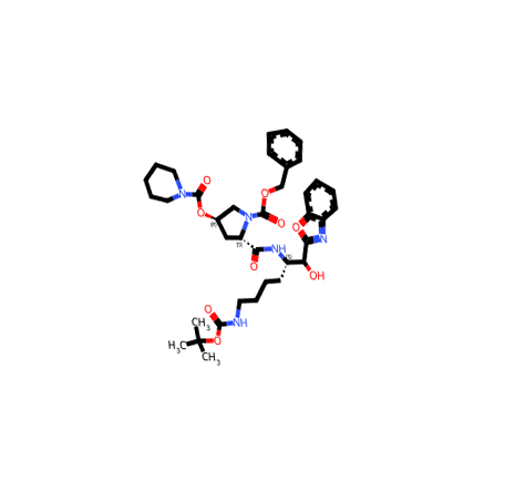 CC(C)(C)OC(=O)NCCCC[C@H](NC(=O)[C@@H]1C[C@@H](OC(=O)N2CCCCC2)CN1C(=O)OCc1ccccc1)C(O)c1nc2ccccc2o1